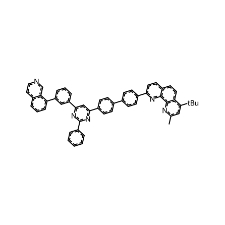 Cc1cc(C(C)(C)C)c2ccc3ccc(-c4ccc(-c5ccc(-c6cc(-c7cccc(-c8cccc9ccncc89)c7)nc(-c7ccccc7)n6)cc5)cc4)nc3c2n1